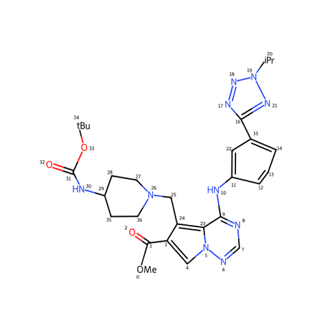 COC(=O)c1cn2ncnc(Nc3cccc(-c4nnn(C(C)C)n4)c3)c2c1CN1CCC(NC(=O)OC(C)(C)C)CC1